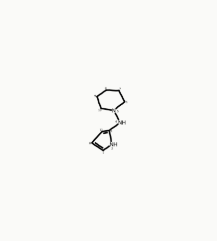 c1c[nH]c(NN2CCCCC2)c1